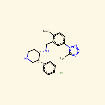 COc1ccc(-n2nnnc2C(F)(F)F)cc1CN[C@H]1CCNC[C@H]1c1ccccc1.Cl